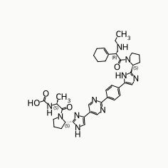 CCN[C@@H](C(=O)N1CCC[C@H]1c1ncc(-c2ccc(-c3ncc(-c4c[nH]c([C@@H]5CCCN5C(=O)[C@H](C)NC(=O)O)n4)cn3)cc2)[nH]1)C1=CCCCC1